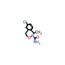 CC1c2ccc(Cl)cc2CCON1C(N)=O